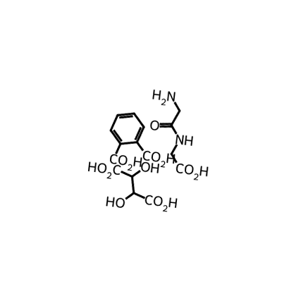 NCC(=O)NCC(=O)O.O=C(O)C(O)C(O)C(=O)O.O=C(O)c1ccccc1C(=O)O